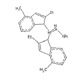 CCC[SiH]=[Hf]([CH]1C(CC)=Cc2c(C)cccc21)[CH]1C(CC)=Cc2c(C)cccc21